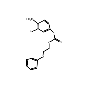 O=C(Nc1ccc(C(=O)O)c(O)c1)OCCOc1ccccc1